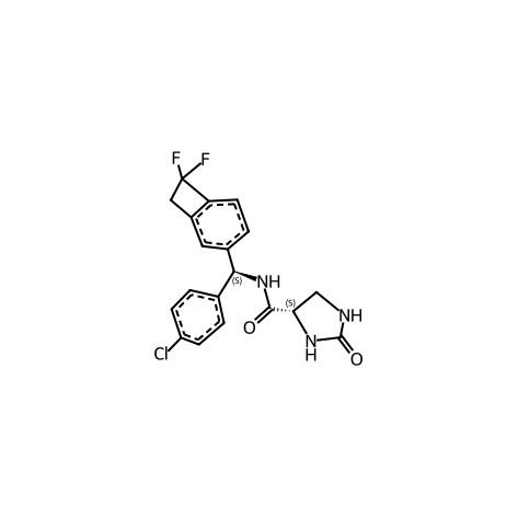 O=C1NC[C@@H](C(=O)N[C@@H](c2ccc(Cl)cc2)c2ccc3c(c2)CC3(F)F)N1